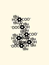 CC(C)(C)c1cc(C(=O)[O-])c(OOc2c(C(=O)[O-])cc(C(C)(C)C)c(O)c2C(C)(C)C)c(C(C)(C)C)c1O.CC(C)(C)c1cc(C(=O)[O-])c(OOc2c(C(=O)[O-])cc(C(C)(C)C)c(O)c2C(C)(C)C)c(C(C)(C)C)c1O.CC(C)(C)c1cc(C(=O)[O-])c(OOc2c(C(=O)[O-])cc(C(C)(C)C)c(O)c2C(C)(C)C)c(C(C)(C)C)c1O.[Mo+6]